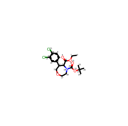 CCOC(=O)C1C(c2ccc(Cl)c(Cl)c2)[CH]OCCN1C(=O)OC(C)(C)C